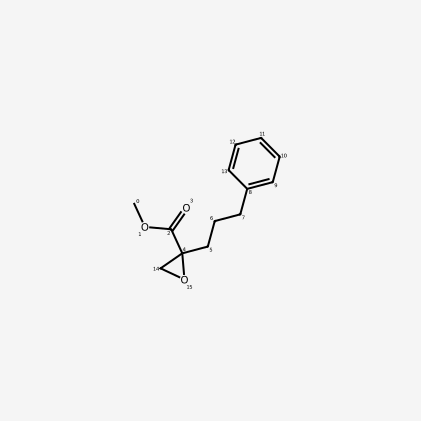 COC(=O)C1(CCCc2ccccc2)CO1